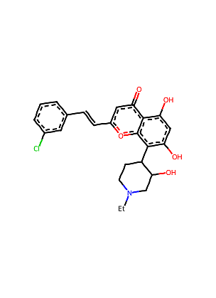 CCN1CCC(c2c(O)cc(O)c3c(=O)cc(C=Cc4cccc(Cl)c4)oc23)C(O)C1